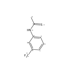 CC(=S)Nc1cccc(C(F)(F)F)c1